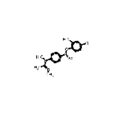 CN=C(C)N(C)c1ccc(N(Oc2ccc(Cl)cc2C)C(C)=O)cc1